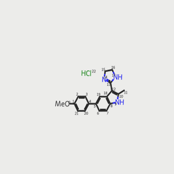 COc1ccc(-c2ccc3[nH]c(C)c(C4=NCCN4)c3c2)cc1.Cl